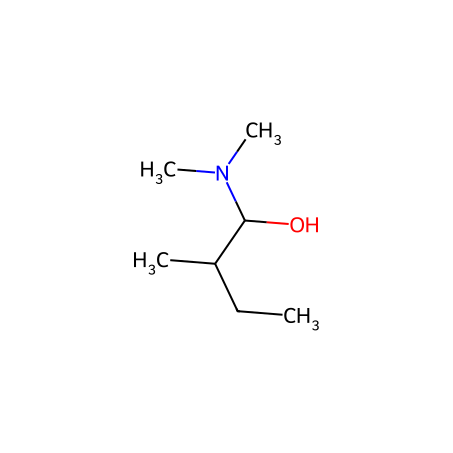 CCC(C)C(O)N(C)C